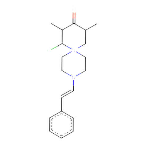 CC1C[N+]2(CCN(C=Cc3ccccc3)CC2)C(Cl)C(C)C1=O